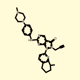 C#CCn1c(=O)c2cnc(Nc3ccc(N4CCN(C)CC4)cc3)nc2n1-c1ccc2c(n1)C(C)CCC2